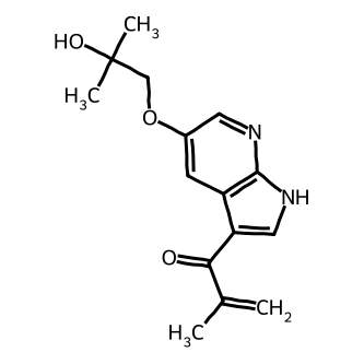 C=C(C)C(=O)c1c[nH]c2ncc(OCC(C)(C)O)cc12